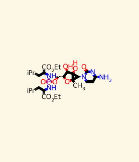 CCOC(=O)C(CC(C)C)NP(=O)(NC(CC(C)C)C(=O)OCC)OC[C@H]1OC2(C)[C@@H](n3ccc(N)nc3=O)C2(O)C1O